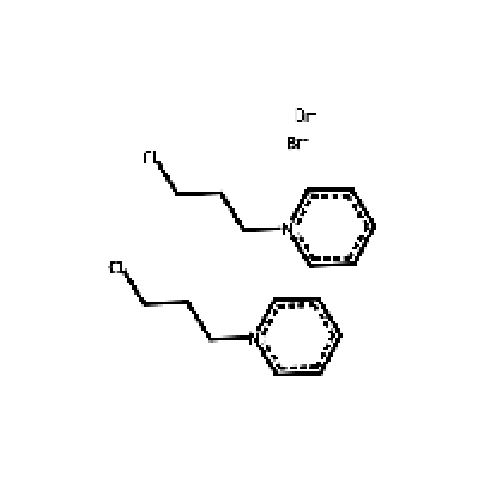 ClCCC[n+]1ccccc1.ClCCC[n+]1ccccc1.[Br-].[Br-]